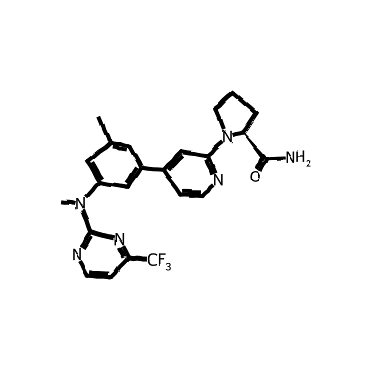 Cc1cc(-c2ccnc(N3CCC[C@H]3C(N)=O)c2)cc(N(C)c2nccc(C(F)(F)F)n2)c1